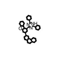 c1ccc(C2=NC(c3cc(-c4ccc5ccc6ccccc6c5c4)cc4oc5ccccc5c34)=NC(c3ccccc3)N2)cc1